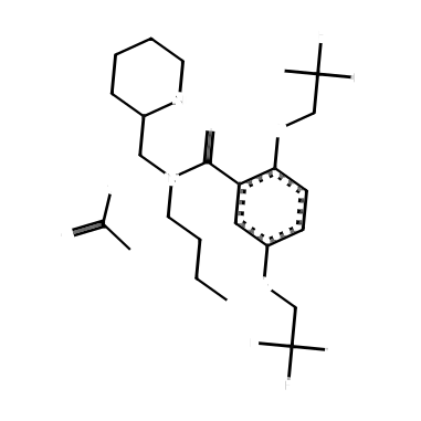 CC(=O)O.CCCCN(CC1CCCCN1)C(=O)c1cc(OCC(F)(F)F)ccc1OCC(F)(F)F